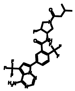 CC(C)CC(=O)N1C[C@H](F)[C@H](NC(=O)c2cc(-c3cc(C(F)(F)F)c4c(N)ncnn34)ccc2C(F)(F)F)C1